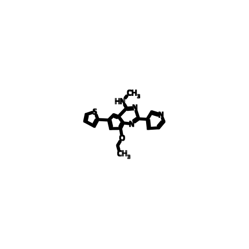 CCOc1cc(-c2cccs2)cc2c(NC)nc(-c3cccnc3)nc12